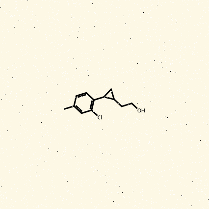 Cc1ccc(C2CC2CCO)c(Cl)c1